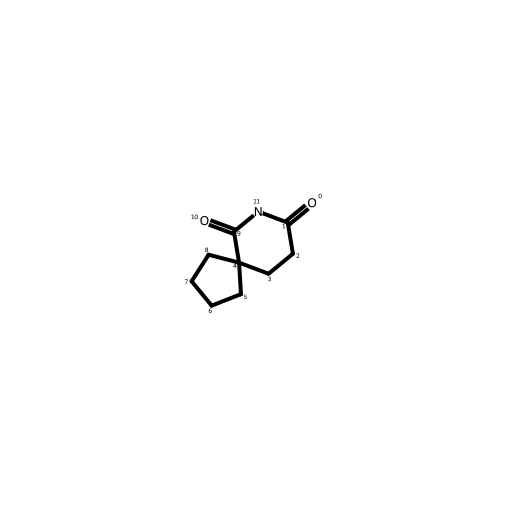 O=C1CCC2(CCCC2)C(=O)[N]1